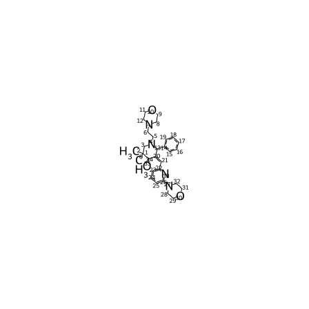 CC1(C)CN(CCN2CCOCC2)C(c2ccccc2)C(=Cc2cccc(N3CCOCC3)n2)C1=O